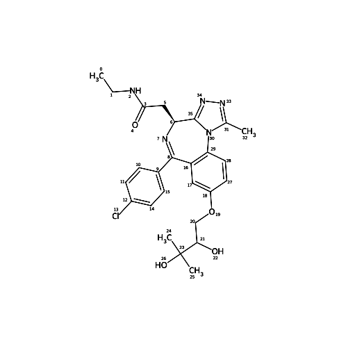 CCNC(=O)C[C@@H]1N=C(c2ccc(Cl)cc2)c2cc(OCC(O)C(C)(C)O)ccc2-n2c(C)nnc21